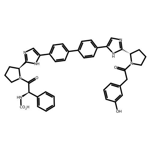 O=C(O)N[C@@H](C(=O)N1CCC[C@H]1c1ncc(-c2ccc(-c3ccc(-c4cnc([C@@H]5CCCN5C(=O)Cc5cccc(O)c5)[nH]4)cc3)cc2)[nH]1)c1ccccc1